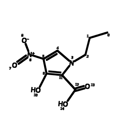 CCCn1cc([N+](=O)[O-])c(O)c1C(=O)O